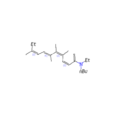 C=C(\C=C/C(C)=C(C)\C(C)=C\C=C(\C)CC)N(CC)CCCC